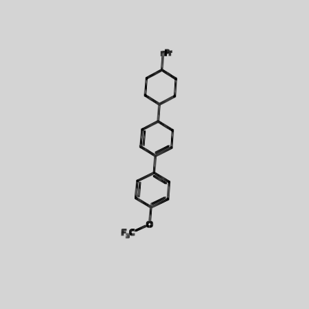 CCCC1CCC(C2C=CC(c3ccc(OC(F)(F)F)cc3)=CC2)CC1